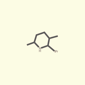 CC1CCC(C)C(C(C)C)N1